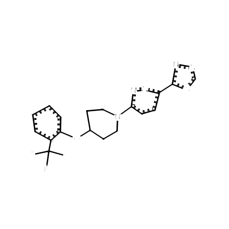 FC(F)(F)c1ccccc1OC1CCN(c2ccc(-c3nnco3)nn2)CC1